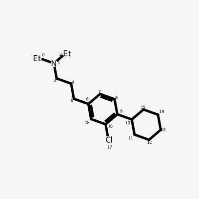 CCN(CC)CCCc1ccc(C2CCCCC2)c(Cl)c1